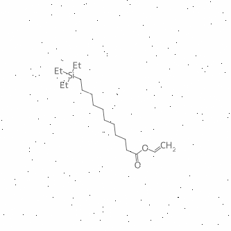 C=COC(=O)CCCCCCCCCC[Si](CC)(CC)CC